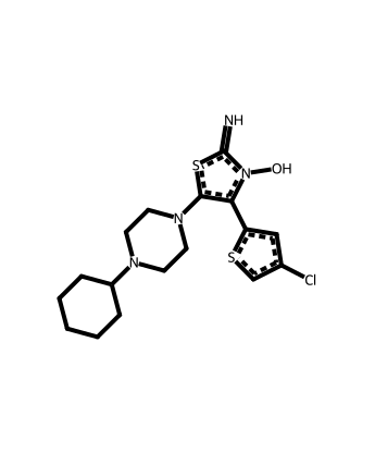 N=c1sc(N2CCN(C3CCCCC3)CC2)c(-c2cc(Cl)cs2)n1O